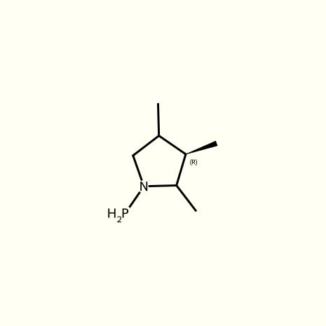 CC1CN(P)C(C)[C@@H]1C